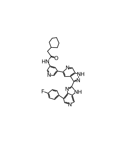 O=C(CC1CCCCC1)Nc1cncc(-c2cc3c(-c4nc5c(-c6ccc(F)cc6)cncc5[nH]4)n[nH]c3cn2)c1